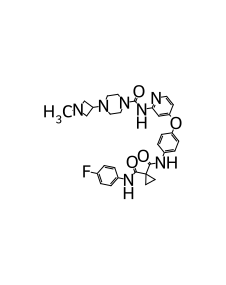 CN1CC(N2CCN(C(=O)Nc3cc(Oc4ccc(NC(=O)C5(C(=O)Nc6ccc(F)cc6)CC5)cc4)ccn3)CC2)C1